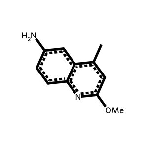 COc1cc(C)c2cc(N)ccc2n1